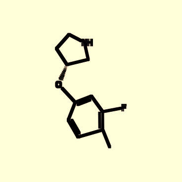 Cc1ccc(O[C@@H]2CCNC2)cc1F